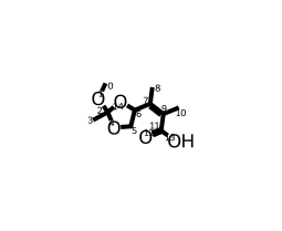 COC1(C)OCC(/C(C)=C(/C)C(=O)O)O1